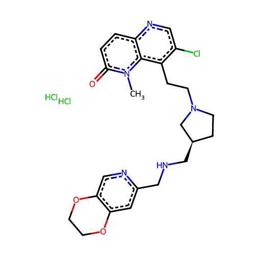 Cl.Cl.Cn1c(=O)ccc2ncc(Cl)c(CCN3CC[C@@H](CNCc4cc5c(cn4)OCCO5)C3)c21